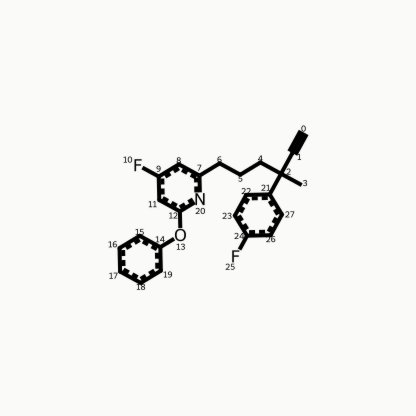 C#CC(C)(CCCc1cc(F)cc(Oc2ccccc2)n1)c1ccc(F)cc1